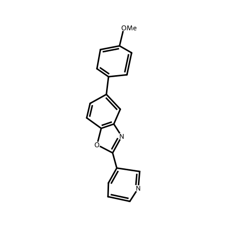 COc1ccc(-c2ccc3oc(-c4cccnc4)nc3c2)cc1